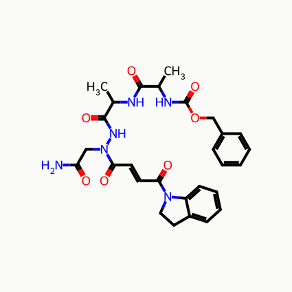 CC(NC(=O)OCc1ccccc1)C(=O)NC(C)C(=O)NN(CC(N)=O)C(=O)/C=C/C(=O)N1CCc2ccccc21